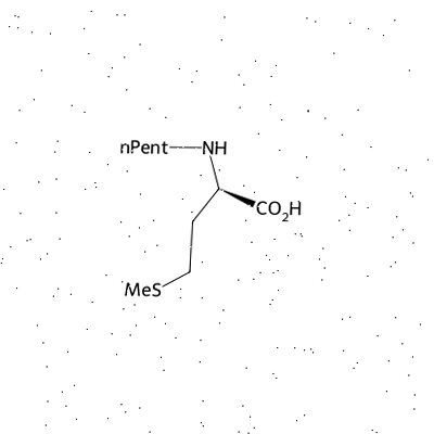 CCCCCN[C@H](CCSC)C(=O)O